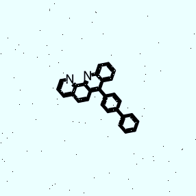 c1ccc(-c2ccc(-c3c4ccccc4nc4c3ccc3cccnc34)cc2)cc1